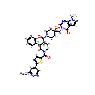 COc1cc(-c2ccc(C(=O)N3CC[C@@H](C(=O)N4CCC(O)(Cn5cnc6c(ccn6C)c5=O)CC4)[C@H](c4ccccc4)C3)s2)ccn1